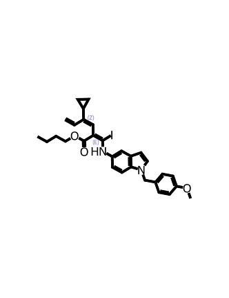 C=C/C(=C\C(C(=O)OCCCC)=C(/I)Nc1ccc2c(ccn2Cc2ccc(OC)cc2)c1)C1CC1